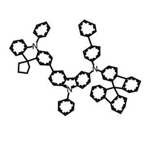 c1ccc(-c2ccc(N(c3ccc4c(c3)C3(c5ccccc5-c5ccccc53)c3ccccc3-4)c3ccc4c(c3)c3cc(-c5ccc6c(c5)C5(CCCC5)c5ccccc5N6c5ccccc5)ccc3n4-c3ccccc3)cc2)cc1